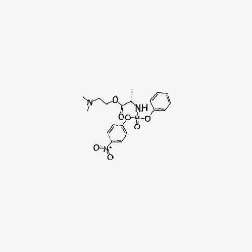 C[C@H](NP(=O)(Oc1ccccc1)Oc1ccc([N+](=O)[O-])cc1)C(=O)OCCN(C)C